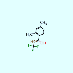 Cc1ccc(C(O)=[SH]C(F)(F)F)c(C)c1